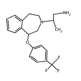 CC(CN)N1CCc2ccccc2C(Oc2ccc(C(F)(F)F)cc2)C1